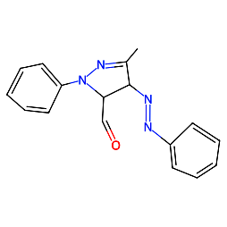 CC1=NN(c2ccccc2)C(C=O)C1N=Nc1ccccc1